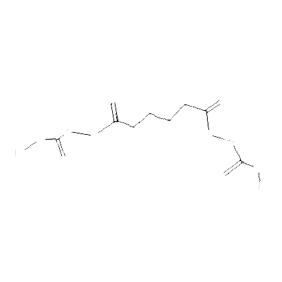 CCOC(=S)NSC(=S)CCCCC(=S)SNC(=S)OCC